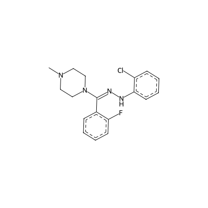 CN1CCN(C(=NNc2ccccc2Cl)c2ccccc2F)CC1